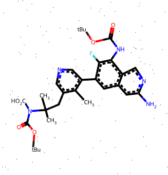 Cc1c(CC(C)(C)N(C(=O)O)C(=O)OC(C)(C)C)cncc1-c1cc2cc(N)ncc2c(NC(=O)OC(C)(C)C)c1F